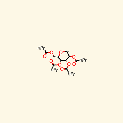 CCCC(=O)OC[C@H]1O[CH][C@@H](OC(=O)CCC)[C@H](OC(=O)CCC)[C@@H]1OC(=O)CCC